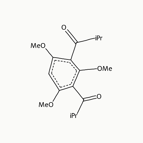 COc1cc(OC)c(C(=O)C(C)C)c(OC)c1C(=O)C(C)C